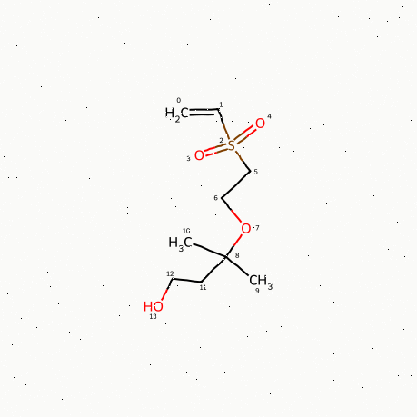 C=CS(=O)(=O)CCOC(C)(C)CCO